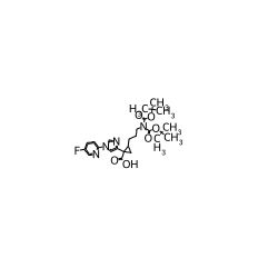 CC(C)(C)OC(=O)N(CCCC1CC1(C(=O)O)c1cn(-c2ccc(F)cn2)cn1)C(=O)OC(C)(C)C